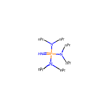 CCCN(CCC)P(=N)(N(CCC)CCC)N(CCC)CCC